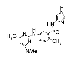 CNc1cc(C)nc(Nc2ccc(C)c(C(=O)Nc3c[nH]cn3)c2)n1